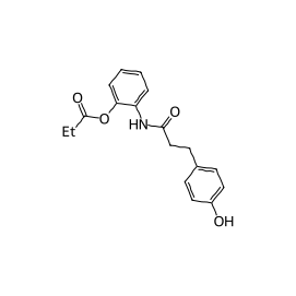 CCC(=O)Oc1ccccc1NC(=O)CCc1ccc(O)cc1